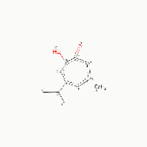 CC(C)c1cccc(=O)c(O)c1.[CaH2]